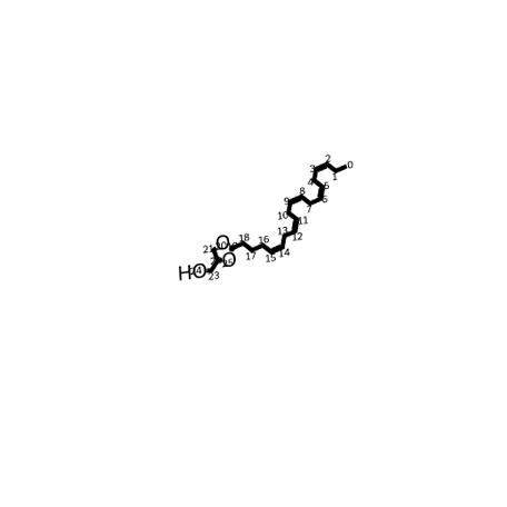 CC/C=C\C/C=C\C/C=C\C/C=C\C/C=C\CCCC1OCC(CO)O1